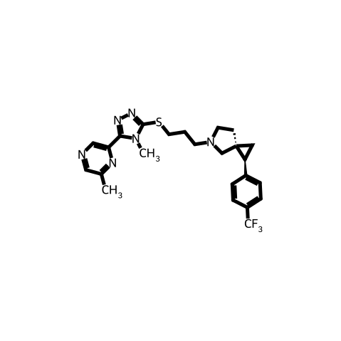 Cc1cncc(-c2nnc(SCCCN3CC[C@@]4(C[C@H]4c4ccc(C(F)(F)F)cc4)C3)n2C)n1